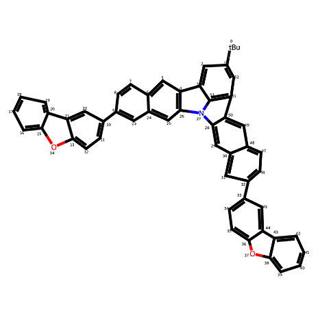 CC(C)(C)c1cc2c3cc4ccc(-c5ccc6oc7ccccc7c6c5)cc4cc3n3c4cc5cc(-c6ccc7oc8ccccc8c7c6)ccc5cc4c(c1)c23